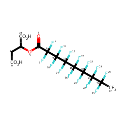 O=C(O)CC(OC(=O)C(F)(F)C(F)(F)C(F)(F)C(F)(F)C(F)(F)C(F)(F)C(F)(F)C(F)(F)F)C(=O)O